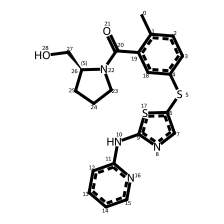 Cc1ccc(Sc2cnc(Nc3ccccn3)s2)cc1C(=O)N1CCC[C@H]1CO